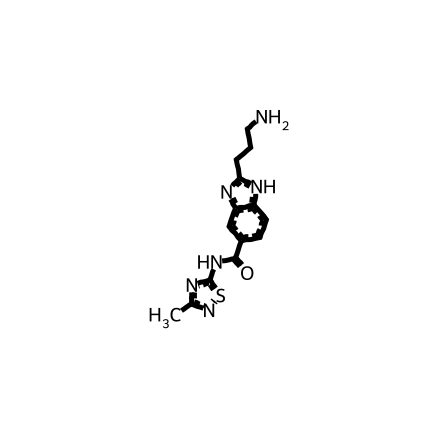 Cc1nsc(NC(=O)c2ccc3[nH]c(CCCN)nc3c2)n1